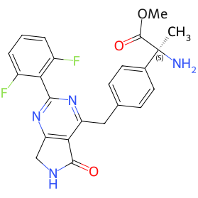 COC(=O)[C@@](C)(N)c1ccc(Cc2nc(-c3c(F)cccc3F)nc3c2C(=O)NC3)cc1